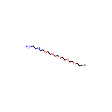 NCCNCCOCCOCCOCCOCCOCCN=O